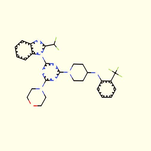 FC(F)c1nc2ccccc2n1-c1nc(N2CCOCC2)nc(N2CCC(Nc3ccccc3C(F)(F)F)CC2)n1